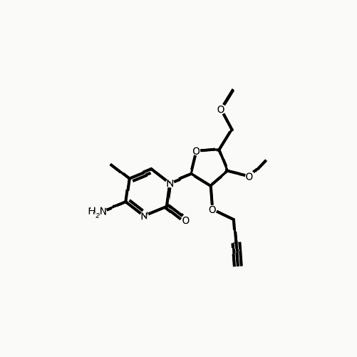 C#CCOC1C(OC)C(COC)OC1n1cc(C)c(N)nc1=O